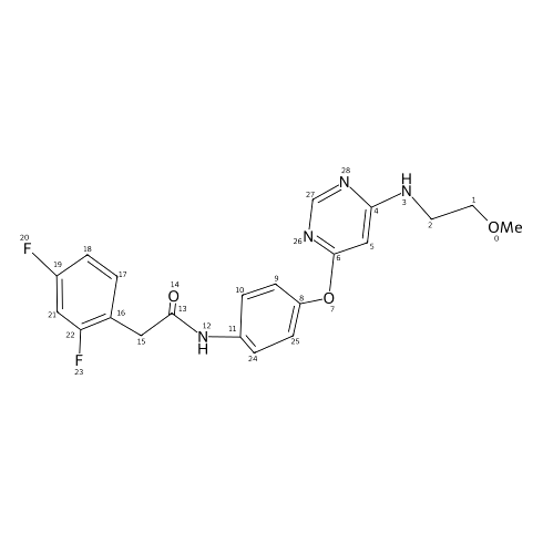 COCCNc1cc(Oc2ccc(NC(=O)Cc3ccc(F)cc3F)cc2)ncn1